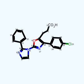 O=C(O)CCc1oc(-n2ccnc2-c2ccccc2)nc1-c1ccc(Cl)cc1